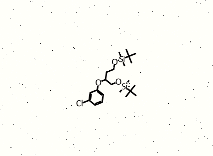 CC(C)(C)[Si](C)(C)OCCC(CO[Si](C)(C)C(C)(C)C)Oc1cccc(Cl)c1